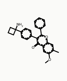 COc1cc2c(=O)c(-c3ccc(C4(N)CCC4)cc3)c(-c3ccccc3)oc2cc1C